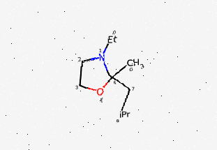 CCN1CCOC1(C)CC(C)C